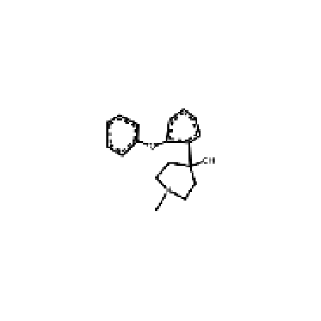 CN1CCC(O)(c2ccccc2Oc2ccccc2)CC1